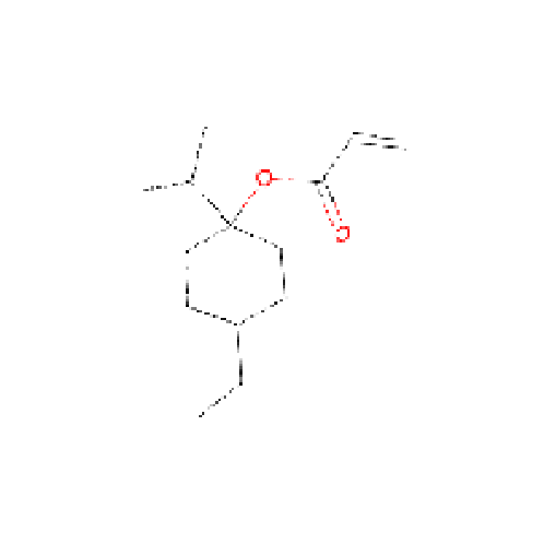 C=CC(=O)OC1(C(C)C)CCC(CC)CC1